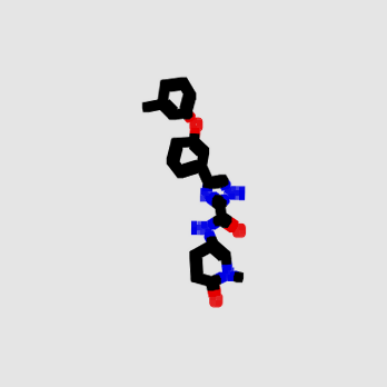 Cc1cccc(Oc2cccc(-c3c[nH]c(C(=O)Nc4ccc(=O)n(C)c4)n3)c2)c1